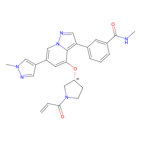 C=CC(=O)N1CC[C@@H](Oc2cc(-c3cnn(C)c3)cn3ncc(-c4cccc(C(=O)NC)c4)c23)C1